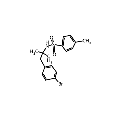 Cc1ccc(S(=O)(=O)NC(C)(C)Cc2ccc(Br)cc2)cc1